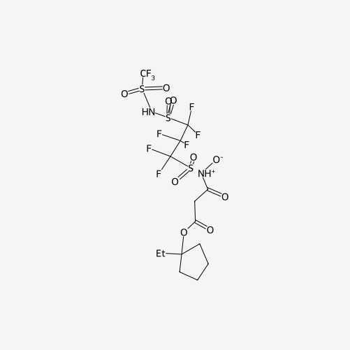 CCC1(OC(=O)CC(=O)[NH+]([O-])S(=O)(=O)C(F)(F)C(F)(F)C(F)(F)S(=O)(=O)NS(=O)(=O)C(F)(F)F)CCCC1